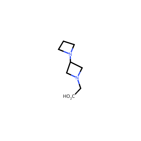 O=C(O)CN1CC(N2CCC2)C1